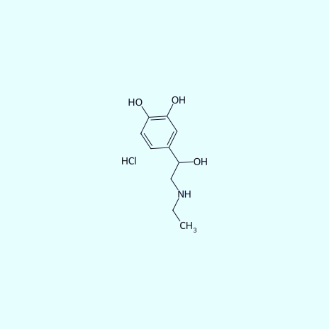 CCNCC(O)c1ccc(O)c(O)c1.Cl